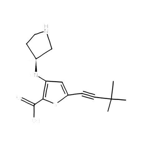 CC(C)(C)C#Cc1cc(N[C@H]2CCNC2)c(C(=O)O)s1